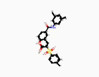 Cc1ccc(S(=O)(=O)c2cc3cc(C(=O)Nc4cc(C)cc(C)c4)ccc3oc2=O)cc1